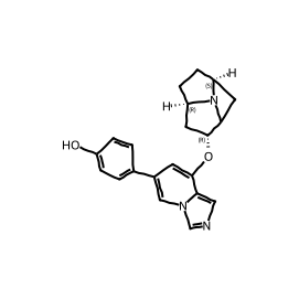 Oc1ccc(-c2cc(O[C@@H]3C[C@H]4CC[C@H]5CC3N45)c3cncn3c2)cc1